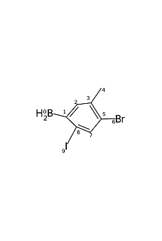 Bc1cc(C)c(Br)cc1I